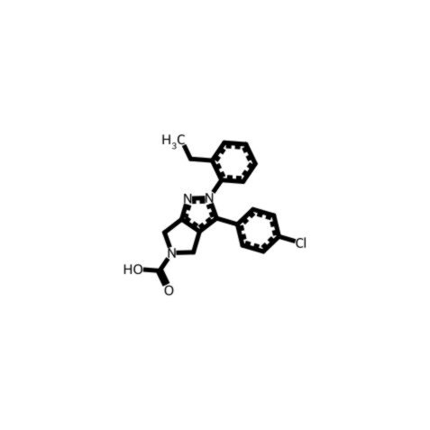 CCc1ccccc1-n1nc2c(c1-c1ccc(Cl)cc1)CN(C(=O)O)C2